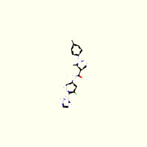 Cc1ccc(-n2ncc(C(=O)Nc3cnc(-n4nccn4)c(Cl)c3)c2C(F)(F)F)cc1